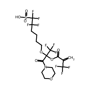 C=C(C(=O)OC(OCCCCC(F)(F)C(F)(F)S(=O)(=O)O)(C(=O)N1CCOCC1)C(F)(F)F)C(F)(F)F